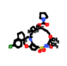 CC1(C)OCC=C[C@H](OC(=O)N2CCCC2)[C@@H]2CC[C@H]2CN2C[C@@]3(CCCc4cc(Cl)ccc43)COc3ccc(cc32)S(=O)(=O)NC1=O